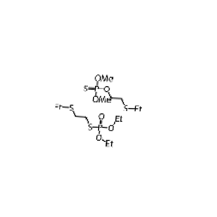 CCOP(=O)(OCC)SCCSCC.CCSCCOP(=S)(OC)OC